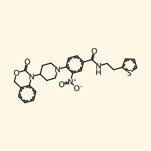 O=C(NCCc1cccs1)c1ccc(N2CCC(N3C(=O)OCc4ccccc43)CC2)c([N+](=O)[O-])c1